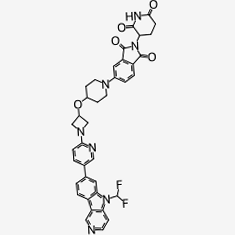 O=C1CCC(N2C(=O)c3ccc(N4CCC(OC5CN(c6ccc(-c7ccc8c9cnccc9n(C(F)F)c8c7)cn6)C5)CC4)cc3C2=O)C(=O)N1